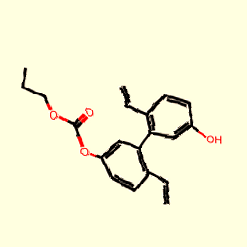 C=Cc1ccc(O)cc1-c1cc(OC(=O)OCCC)ccc1C=C